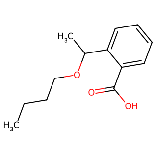 CCCCOC(C)c1ccccc1C(=O)O